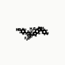 C[C@H]1C2=CNN(c3ccc(F)cc3)C2=CC2=C1[C@@H](CN(CCc1ccc(O)cc1)S(=O)(=O)CC(F)(F)F)CC2